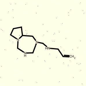 C=CCNCN1CNCN2CCCC2C1